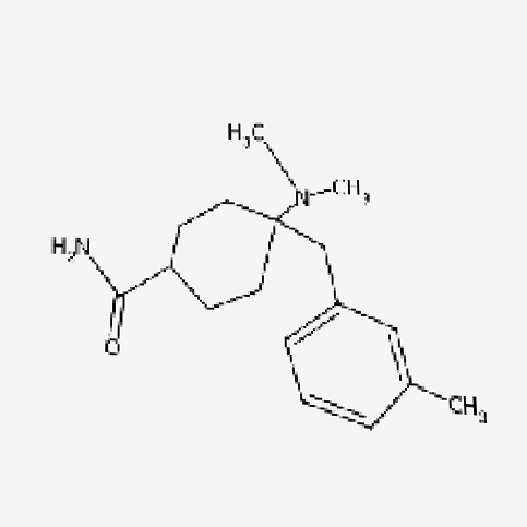 Cc1cccc(CC2(N(C)C)CCC(C(N)=O)CC2)c1